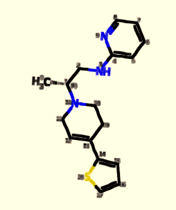 C[C@H](CNc1ccccn1)N1CC=C(c2cccs2)CC1